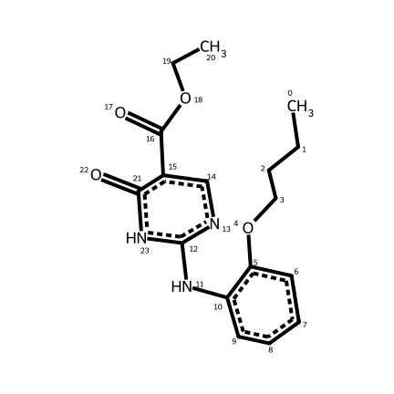 CCCCOc1ccccc1Nc1ncc(C(=O)OCC)c(=O)[nH]1